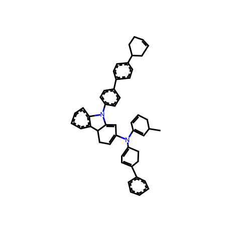 CC1C=C(N(C2=CCC3C(=C2)N(c2ccc(-c4ccc(C5CC=CCC5)cc4)cc2)c2ccccc23)C2=CC=C(c3ccccc3)CC2)C=CC1